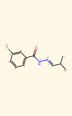 CC(C)/C=N/NC(=O)c1cccc(F)c1